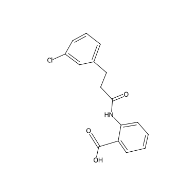 O=C(CCc1cccc(Cl)c1)Nc1ccccc1C(=O)O